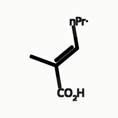 CC[CH]C=C(C)C(=O)O